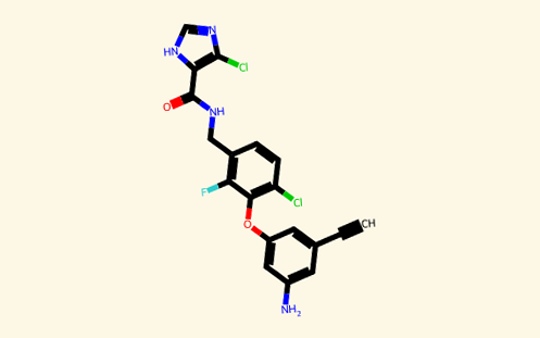 C#Cc1cc(N)cc(Oc2c(Cl)ccc(CNC(=O)c3[nH]cnc3Cl)c2F)c1